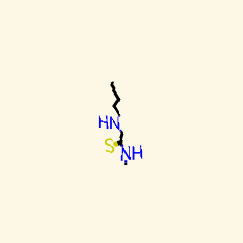 CCCCNCC(=S)NC